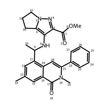 COC(=O)c1nn2c(c1NC(C)c1cc(C)cc3c(=O)n(C)c(-c4ccccc4)cc13)CCC2